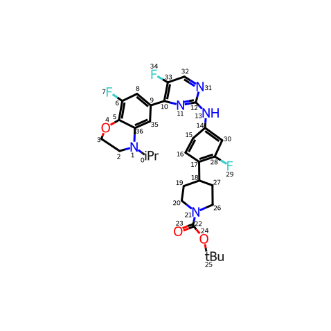 CC(C)N1CCOc2c(F)cc(-c3nc(Nc4ccc(C5CCN(C(=O)OC(C)(C)C)CC5)c(F)c4)ncc3F)cc21